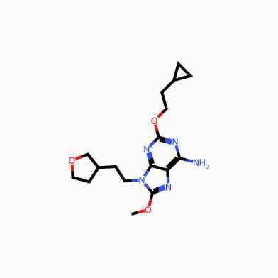 COc1nc2c(N)nc(OCCC3CC3)nc2n1CCC1CCOC1